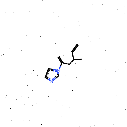 C=CC(C)CC(=C)n1ccnc1